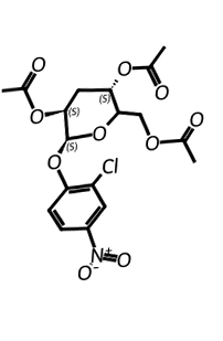 CC(=O)OCC1O[C@@H](Oc2ccc([N+](=O)[O-])cc2Cl)[C@@H](OC(C)=O)C[C@@H]1OC(C)=O